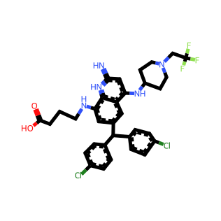 N=c1cc(NC2CCN(CC(F)(F)F)CC2)c2cc(C(c3ccc(Cl)cc3)c3ccc(Cl)cc3)cc(NCCCC(=O)O)c2[nH]1